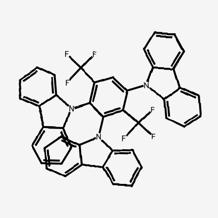 FC(F)(F)c1cc(-n2c3ccccc3c3ccccc32)c(C(F)(F)F)c(-n2c3ccccc3c3ccccc32)c1-n1c2ccccc2c2ccccc21